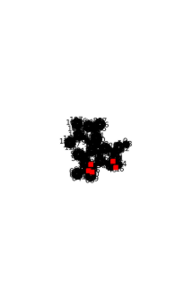 CC(C)(C)c1ccc2c(c1)c1cc(C(C)(C)C)ccc1n2-c1ccc2c(c1)N(c1cc(-c3ccccc3)cc(-c3ccccc3)c1)c1cc(-n3c4ccccc4c4cc(N(c5ccccc5)c5ccccc5)ccc43)cc3c1B2c1ccc(-n2c4ccccc4c4ccccc42)cc1N3CCc1cc(-c2ccccc2)cc(-c2ccccc2)c1